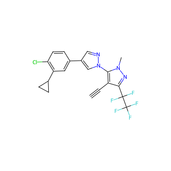 C#Cc1c(C(F)(F)C(F)(F)F)nn(C)c1-n1cc(-c2ccc(Cl)c(C3CC3)c2)cn1